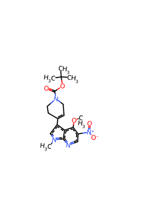 COc1c([N+](=O)[O-])cnc2c1c(C1=CCN(C(=O)OC(C)(C)C)CC1)cn2C